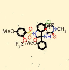 COc1ccc(S(=O)(=O)N2C(=O)C(N[C@@H](CC(C)C)C(=O)N(C)C)(c3ccccc3OC)c3cc(Cl)ccc32)c(OC(F)(F)F)c1